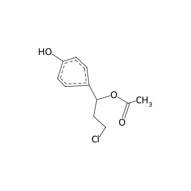 CC(=O)OC(CCCl)c1ccc(O)cc1